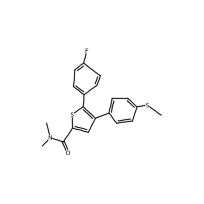 CSc1ccc(-c2cc(C(=O)N(C)C)sc2-c2ccc(F)cc2)cc1